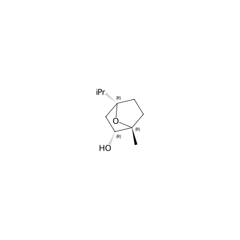 CC(C)[C@]12CC[C@@](C)(O1)[C@H](O)C2